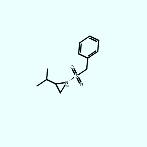 CC(C)C1C[N@@]1S(=O)(=O)Cc1ccccc1